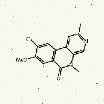 COc1cc2c(=O)n(C)c3cnc(C)cc3c2cc1Cl